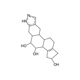 OC1CC2=C(C1)C1C(O)C(O)C3Cc4[nH]ncc4CC3C1CC2